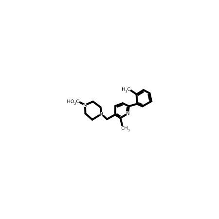 Cc1ccccc1-c1ccc(CN2CCN(C(=O)O)CC2)c(C)n1